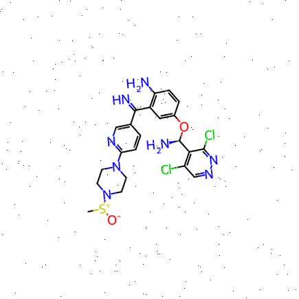 C[S+]([O-])N1CCN(c2ccc(C(=N)c3cc(O[C@H](N)c4c(Cl)cnnc4Cl)ccc3N)cn2)CC1